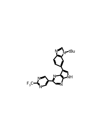 CC(C)(C)n1cnc2ccc(-c3c[nH]c4ncc(-c5cnc(C(F)(F)F)nc5)nc34)cc21